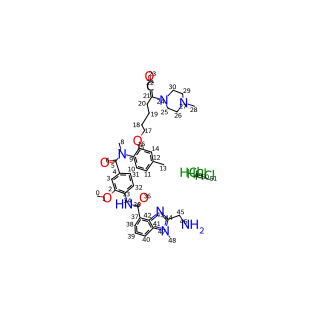 COc1cc(C(=O)N(C)c2ccc(C)cc2OCCCCC(=C=O)N2CCN(C)CC2)ccc1NC(=O)c1cccc2c1nc(CN)n2C.Cl.Cl.Cl